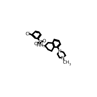 CN1CCN(c2cccc3c2CC[C@H](NS(=O)(=O)c2cccc(Cl)c2)C3)CC1